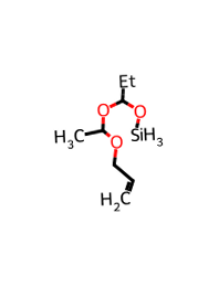 C=CCOC(C)OC(CC)O[SiH3]